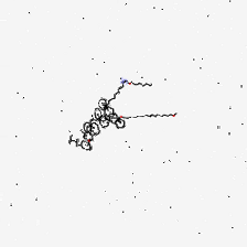 CCCCCCCCC=CCCCCCCCC(=O)OCC(COC(=O)CCCCCCC/C=C\CCCCCCCC)OC(=O)CC(C)CC(=O)Oc1c(C)cc(CO)cc1C